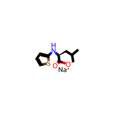 CC(C)C[C@H](Nc1cccs1)C(=O)[O-].[Na+]